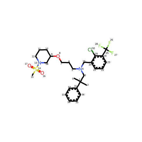 CC(C)(CN(CCCOC1CCCN(S(C)(=O)=O)C1)Cc1cccc(C(F)(F)F)c1Cl)c1ccccc1